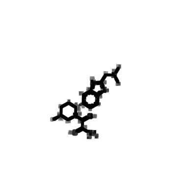 C[C@H]1CC[C@H](c2ccc3sc(CN(C)C)nc3c2)N(C(=O)C(N)=O)C1